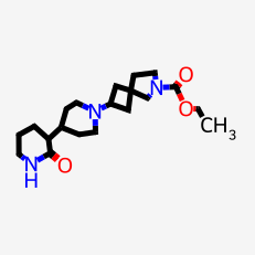 CCOC(=O)N1CCC2(CC(N3CCC(C4CCCNC4=O)CC3)C2)C1